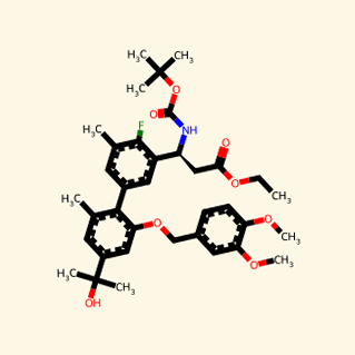 CCOC(=O)C[C@H](NC(=O)OC(C)(C)C)c1cc(-c2c(C)cc(C(C)(C)O)cc2OCc2ccc(OC)c(OC)c2)cc(C)c1F